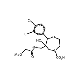 COCC(=O)NCC1(O)CN(C(=O)O)CCOC1c1ccc(Cl)c(Cl)c1